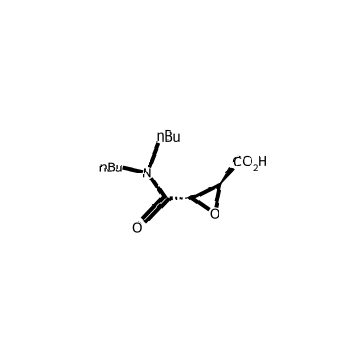 CCCCN(CCCC)C(=O)[C@H]1O[C@@H]1C(=O)O